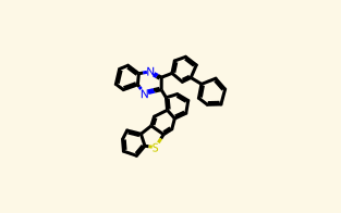 c1ccc(-c2cccc(-c3nc4ccccc4nc3-c3cccc4cc5sc6ccccc6c5cc34)c2)cc1